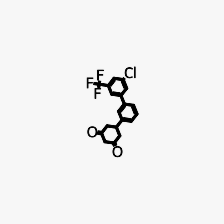 O=C1CC(=O)CC(c2cccc(-c3cc(Cl)cc(C(F)(F)F)c3)c2)C1